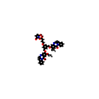 COc1cc2c(cc1OCc1cc(COc3cc4c(cc3C)C(=O)N3c5ccccc5C[C@H]3C=N4)cc(OCCCC(=O)ON3C(=O)CCC3=O)c1)N=C[C@@H]1Cc3ccccc3N1C2=O